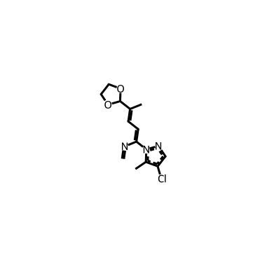 C=N/C(=C\C=C(/C)C1OCCO1)n1ncc(Cl)c1C